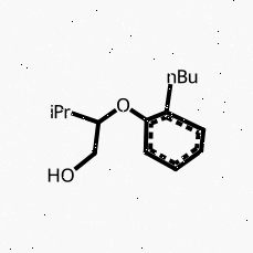 CCCCc1ccccc1OC(CO)C(C)C